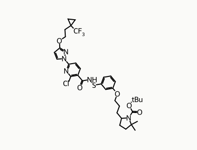 CC(C)(C)OC(=O)N1C(CCCOc2cccc(SNC(=O)c3ccc(-n4ccc(OCCC5(C(F)(F)F)CC5)n4)nc3Cl)c2)CCC1(C)C